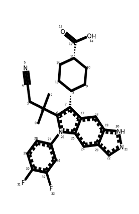 CC(C)(CC#N)c1c([C@H]2CC[C@@H](C(=O)O)CC2)c2cc3[nH]ncc3cc2n1-c1ccc(F)c(F)c1